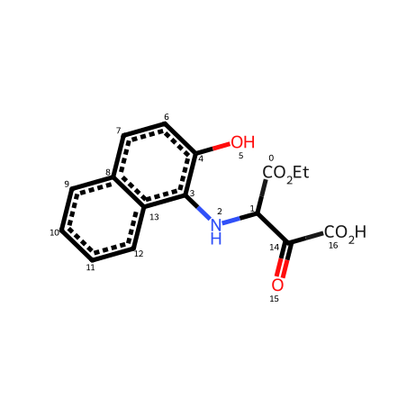 CCOC(=O)C(Nc1c(O)ccc2ccccc12)C(=O)C(=O)O